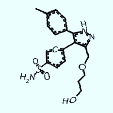 Cc1ccc(-c2[nH]nc(COCCCO)c2-c2ccc(S(N)(=O)=O)cc2)cc1